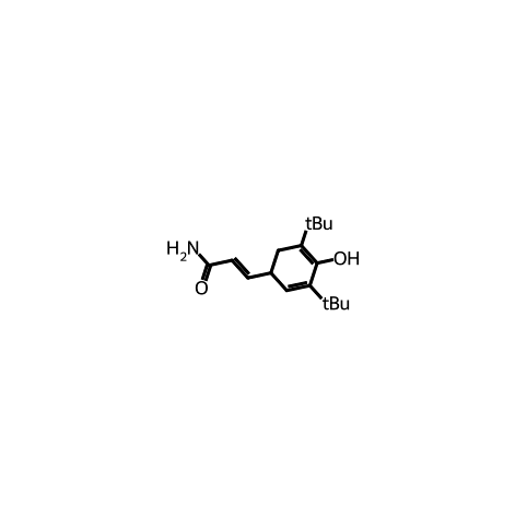 CC(C)(C)C1=CC(C=CC(N)=O)CC(C(C)(C)C)=C1O